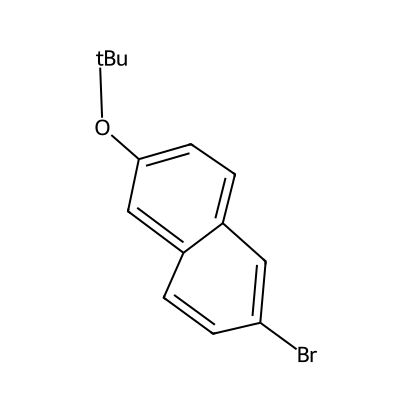 CC(C)(C)Oc1ccc2cc(Br)ccc2c1